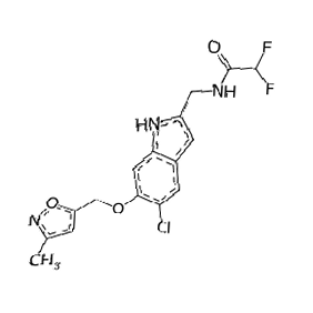 Cc1cc(COc2cc3[nH]c(CNC(=O)C(F)F)cc3cc2Cl)on1